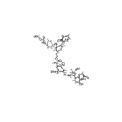 COc1cc(NC(=O)OCCc2ccc(-c3ccccc3)c(N(C(=O)O)[C@H]3CC[C@H](NC(=O)OC(C)(C)C)CC3)c2)c(Cl)cc1CNC[C@H](O[Si](C)(C)C(C)(C)C)c1ccc(O)c2[nH]c(=O)ccc12